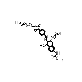 CC(=O)Nc1ccc2c(O)c(/N=N/c3ccc(S(=O)(=O)CCOSOOO)cc3)c(SOOO)cc2c1